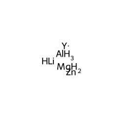 [AlH3].[LiH].[MgH2].[Y].[Zn]